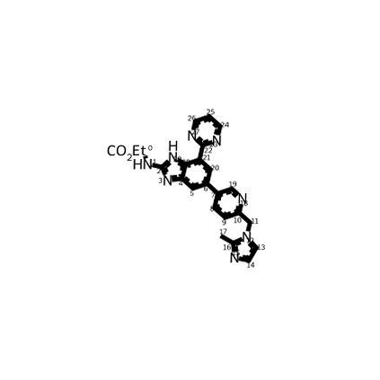 CCOC(=O)Nc1nc2cc(-c3ccc(Cn4ccnc4C)nc3)cc(-c3ncccn3)c2[nH]1